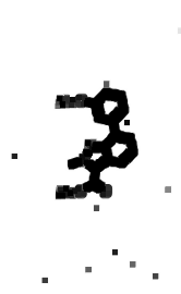 COC(=O)c1c2cccc(-c3cccc(OC)c3)c2nn1C